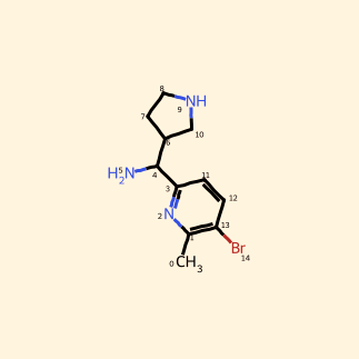 Cc1nc(C(N)C2CCNC2)ccc1Br